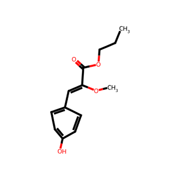 CCCOC(=O)C(=Cc1ccc(O)cc1)OC